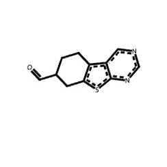 O=CC1CCc2c(sc3ncncc23)C1